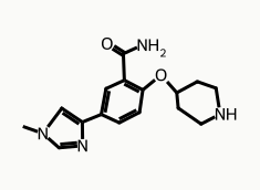 Cn1cnc(-c2ccc(OC3CCNCC3)c(C(N)=O)c2)c1